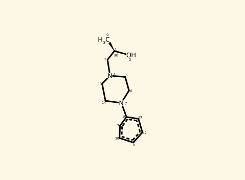 C[C@@H](O)CN1CCN(c2[c]cccc2)CC1